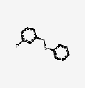 Fc1cc[c]c(CSc2ccccc2)c1